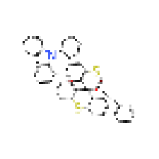 C1=CCC2Sc3ccccc3C3(C2=C1)c1cc(-c2ccccc2)ccc1Sc1ccc(-c2cccc4c5c(n(C6CC=CCC6)c24)C=CCC5)cc13